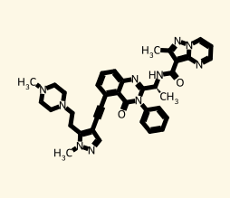 Cc1nn2cccnc2c1C(=O)N[C@H](C)c1nc2cccc(C#Cc3cnn(C)c3CCN3CCN(C)CC3)c2c(=O)n1-c1ccccc1